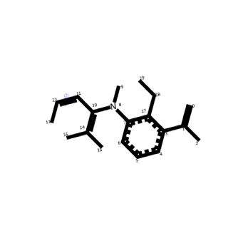 C=C(C)c1cccc(N(C)C(/C=C\C)=C(C)C)c1CC